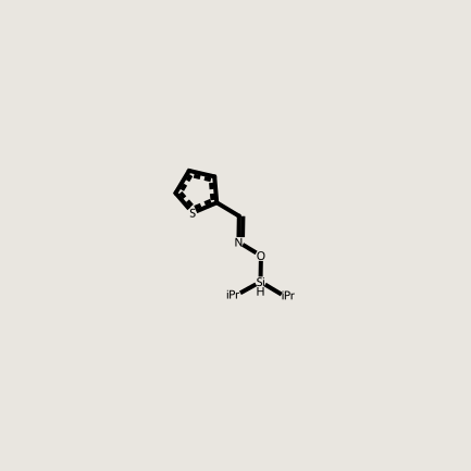 CC(C)[SiH](ON=Cc1cccs1)C(C)C